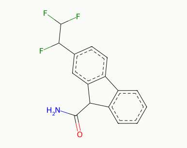 NC(=O)C1c2ccccc2-c2ccc(C(F)C(F)F)cc21